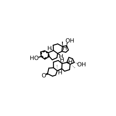 C[C@]12CC[C@@H]3c4ccc(O)cc4CC[C@H]3[C@@H]1CC[C@@H]2O.C[C@]12CC[C@H]3[C@@H](CCC4CC(=O)CC[C@@]43C)[C@@H]1CC[C@@H]2O